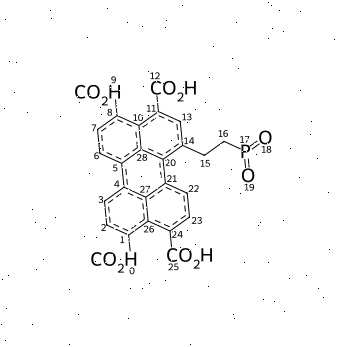 O=C(O)c1ccc2c3ccc(C(=O)O)c4c(C(=O)O)cc(CCP(=O)=O)c(c5ccc(C(=O)O)c1c25)c43